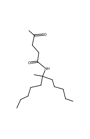 CCCCCC(C)(CCCCC)NC(=O)CCC(C)=O